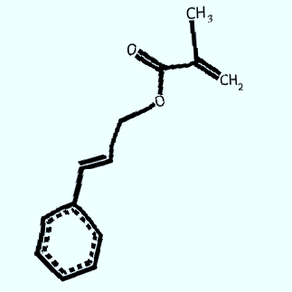 C=C(C)C(=O)OCC=Cc1ccccc1